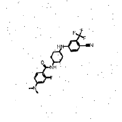 CN(C)c1ccc(C(=O)NC2CCC(Nc3ccc(C#N)c(C(F)(F)F)c3)CC2)c(F)c1